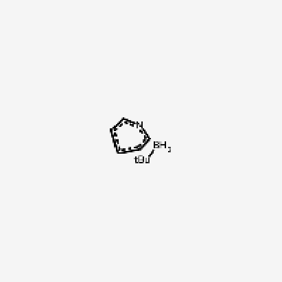 BC(C)(C)C.c1ccncc1